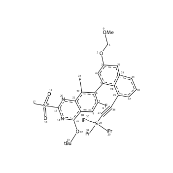 COCOc1cc(-c2c(F)cc3c(OC(C)(C)C)nc(S(C)(=O)=O)nc3c2F)c2c(C#C[Si](C(C)C)(C(C)C)C(C)C)cccc2c1